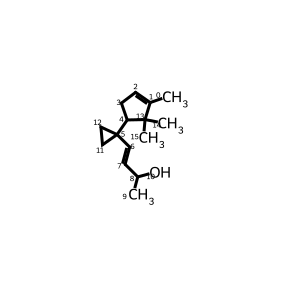 CC1=CCC(C2(/C=C/C(C)O)CC2)C1(C)C